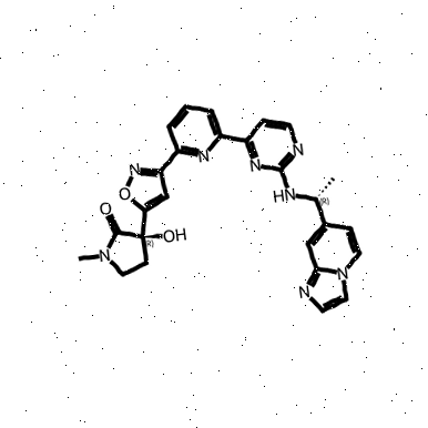 C[C@@H](Nc1nccc(-c2cccc(-c3cc([C@]4(O)CCN(C)C4=O)on3)n2)n1)c1ccn2ccnc2c1